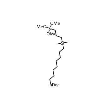 CCCCCCCCCCCCCCCCCC[Si](C)(C)CCC[Si](OC)(OC)OC